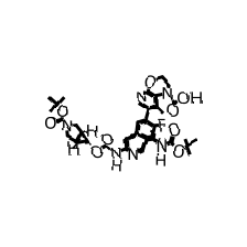 Cc1c(-c2cc3cc(NC(=O)O[C@@H]4[C@@H]5CN(C(=O)OC(C)(C)C)C[C@@H]54)ncc3c(NC(=O)OC(C)(C)C)c2F)cnc2c1N(C(=O)O)CCO2